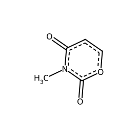 Cn1c(=O)ccoc1=O